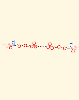 BC(=O)NCCOCCOCCOC(=O)OCCCCCOC(=O)OCCOCCOCCNC(B)=O